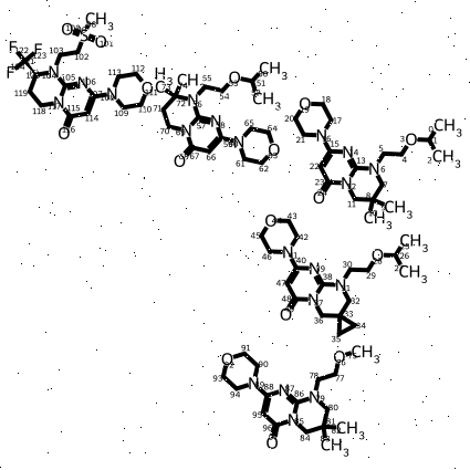 CC(C)OCCN1CC(C)(C)Cn2c1nc(N1CCOCC1)cc2=O.CC(C)OCCN1CC2(CC2)Cn2c1nc(N1CCOCC1)cc2=O.CC(C)OCCN1c2nc(N3CCOCC3)cc(=O)n2CCC1(C)C.COCCN1CC(C)(C)Cn2c1nc(N1CCOCC1)cc2=O.CS(=O)(=O)CCN1c2nc(N3CCOCC3)cc(=O)n2CC[C@H]1C(F)(F)F